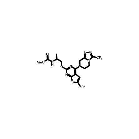 CCCc1cc2c(N3CCn4c(nnc4C(F)(F)F)C3)nc(OCC(C)NC(=O)OC)nc2s1